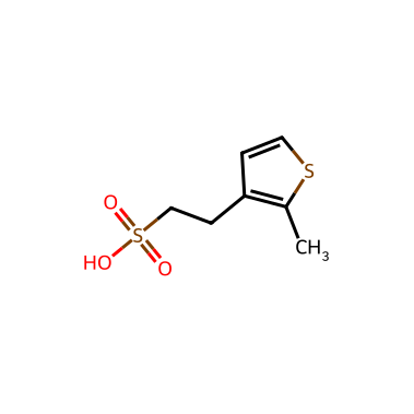 Cc1sccc1CCS(=O)(=O)O